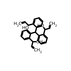 C=CC(O)c1ccccc1C(c1ccccc1C(O)C=C)c1ccccc1C(O)C=C